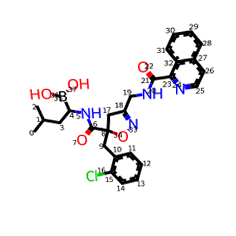 CC(C)CC(NC(=O)C1(Cc2ccccc2Cl)CC(CNC(=O)c2nccc3ccccc23)=NO1)B(O)O